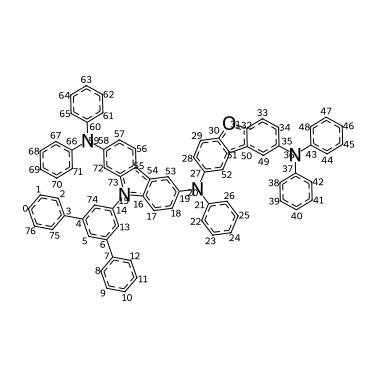 c1ccc(-c2cc(-c3ccccc3)cc(-n3c4ccc(N(c5ccccc5)c5ccc6oc7ccc(N(c8ccccc8)c8ccccc8)cc7c6c5)cc4c4ccc(N(c5ccccc5)c5ccccc5)cc43)c2)cc1